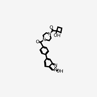 O=C(c1ccc(-c2ccc3cn(O)nc3c2)cc1)N1CCN(C(=O)C2(O)CCC2)CC1